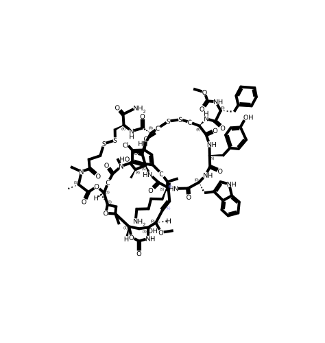 COC(=O)N[C@H](Cc1ccccc1)C(=O)N[C@H]1CSSC[C@@H](C(=O)N[C@@H](CSSCCC(=O)N(C)[C@@H](C)C(=O)O[C@H]2CC(=O)N(C)c3cc(cc(OC)c3Cl)C/C(C)=C/C=C/[C@@H](OC)[C@@]3(O)C[C@H](OC(=O)N3)C3(C)C[C@@]2(C)O3)C(N)=O)NC(=O)[C@H]([C@@H](C)O)NC(=O)[C@H](CCCCN)NC(=O)[C@@H](Cc2c[nH]c3ccccc23)NC(=O)[C@H](Cc2ccc(O)cc2)NC1=O